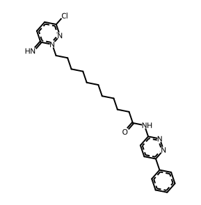 N=c1ccc(Cl)nn1CCCCCCCCCCC(=O)Nc1ccc(-c2ccccc2)nn1